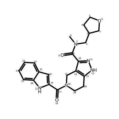 CN(CC1CCOC1)C(=O)c1n[nH]c2c1CN(C(=O)c1cc3ccccc3[nH]1)CC2